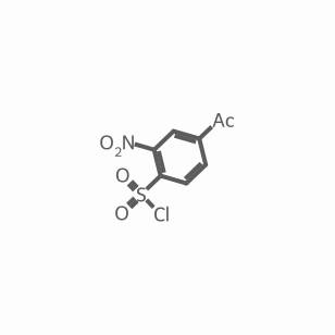 CC(=O)c1ccc(S(=O)(=O)Cl)c([N+](=O)[O-])c1